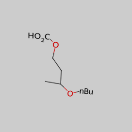 CCCCOC(C)CCOC(=O)O